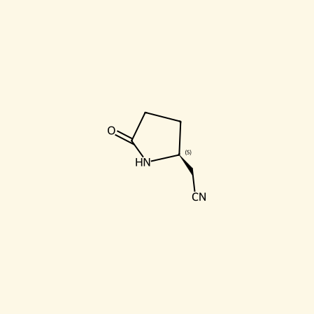 N#CC[C@@H]1CCC(=O)N1